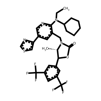 CCN(c1ncc(-c2cscn2)cc1CN1C(=O)OC(c2cc(C(F)(F)F)cc(C(F)(F)F)c2)[C@@H]1C)C1CCCCC1